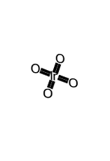 [O]=[Ir](=[O])(=[O])=[O]